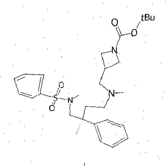 CN(CC[C@](C)(CN(C)S(=O)(=O)c1ccccc1)c1ccccc1)CC1CN(C(=O)OC(C)(C)C)C1